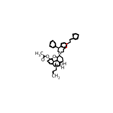 C=CCN1CC[C@]23c4c5ccc(OC(C)=O)c4OC2C(N(CCCCCCc2ccccc2)CC(c2ccccc2)c2ccccc2)CC[C@@]3(O)[C@H]1C5